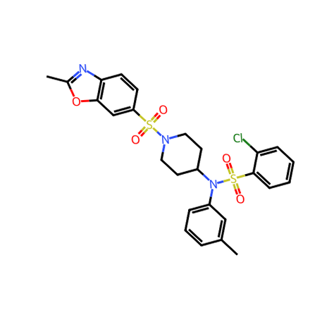 Cc1cccc(N(C2CCN(S(=O)(=O)c3ccc4nc(C)oc4c3)CC2)S(=O)(=O)c2ccccc2Cl)c1